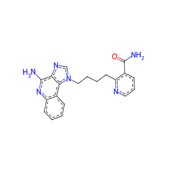 NC(=O)c1cccnc1CCCCn1cnc2c(N)nc3ccccc3c21